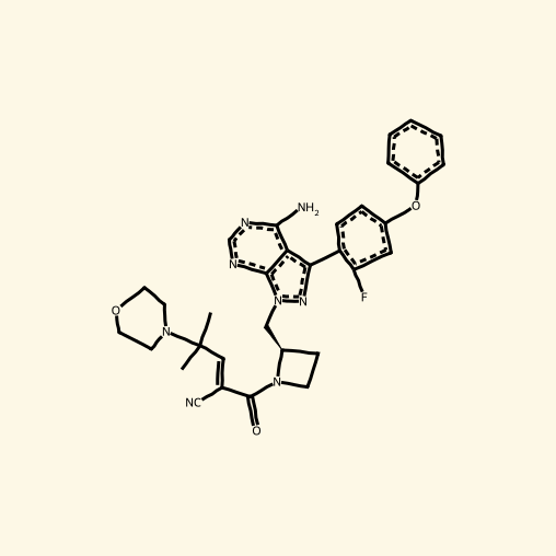 CC(C)(C=C(C#N)C(=O)N1CC[C@@H]1Cn1nc(-c2ccc(Oc3ccccc3)cc2F)c2c(N)ncnc21)N1CCOCC1